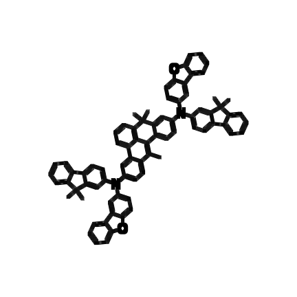 Cc1c2c3c(cccc3c3cc(N(c4ccc5c(c4)C(C)(C)c4ccccc4-5)c4ccc5oc6ccccc6c5c4)ccc13)C(C)(C)c1cc(N(c3ccc4c(c3)C(C)(C)c3ccccc3-4)c3ccc4oc5ccccc5c4c3)ccc1-2